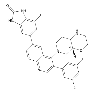 O=c1[nH]c2cc(-c3ccc4ncc(-c5cc(F)cc(F)c5)c(N5CCC6NCCO[C@@H]6C5)c4c3)cc(F)c2[nH]1